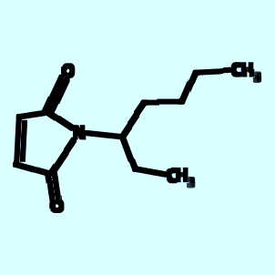 CCCCC(CC)N1C(=O)C=CC1=O